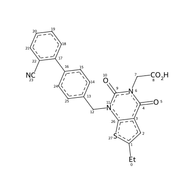 CCc1cc2c(=O)n(CC(=O)O)c(=O)n(Cc3ccc(-c4ccccc4C#N)cc3)c2s1